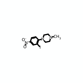 CN1CCN(c2ccc([N+](=O)[O-])cc2I)CC1